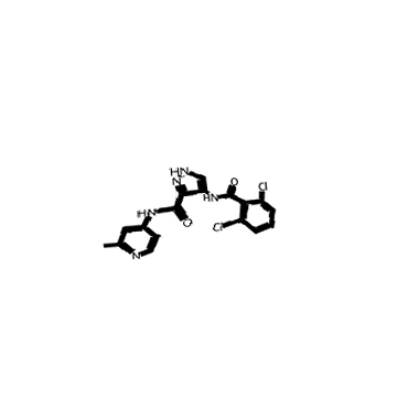 Cc1cc(NC(=O)c2n[nH]cc2NC(=O)c2c(Cl)cccc2Cl)ccn1